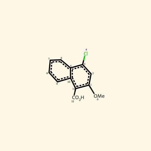 COc1cc(Cl)c2ccccc2c1C(=O)O